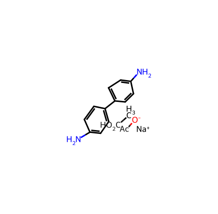 CC(=O)O.CC(=O)[O-].Nc1ccc(-c2ccc(N)cc2)cc1.[Na+]